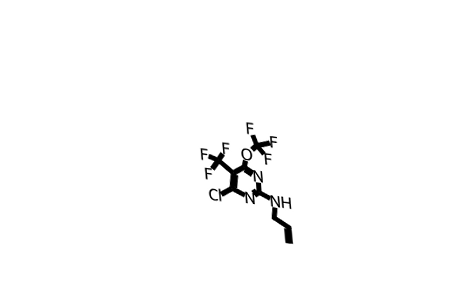 C=CCNc1nc(Cl)c(C(F)(F)F)c(OC(F)(F)F)n1